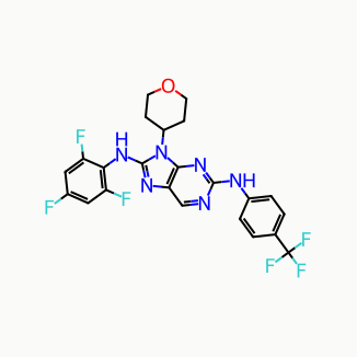 Fc1cc(F)c(Nc2nc3cnc(Nc4ccc(C(F)(F)F)cc4)nc3n2C2CCOCC2)c(F)c1